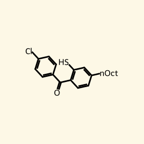 CCCCCCCCc1ccc(C(=O)c2ccc(Cl)cc2)c(S)c1